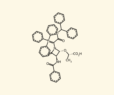 C[C@H](O[C@@H]1[C@@H](NC(=O)c2ccccc2)C(=O)N1C(C(=O)OC(c1ccccc1)c1ccccc1)=P(c1ccccc1)(c1ccccc1)c1ccccc1)C(=O)O